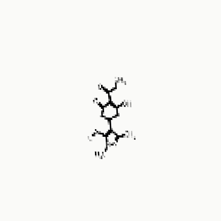 CCC(=O)C1=C(O)CC(c2c(C)nn(C)c2SC)CC1=O